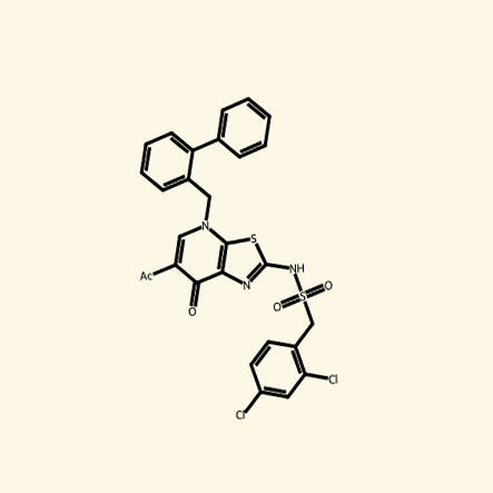 CC(=O)c1cn(Cc2ccccc2-c2ccccc2)c2sc(NS(=O)(=O)Cc3ccc(Cl)cc3Cl)nc2c1=O